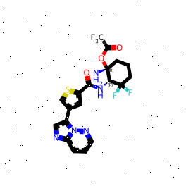 N[C@@]1(OC(=O)C(F)(F)F)CCCC(F)(F)[C@@H]1NC(=O)c1cc(-c2cnc3cccnn23)cs1